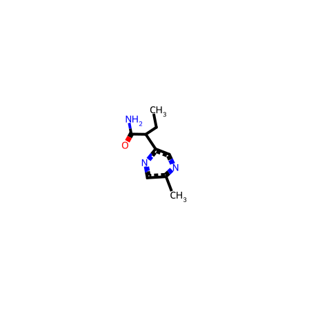 CCC(C(N)=O)c1cnc(C)cn1